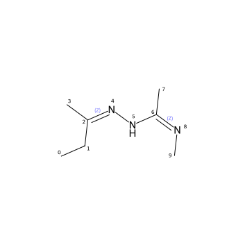 CC/C(C)=N\N/C(C)=N\C